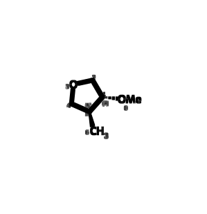 CO[C@H]1COC[C@@H]1C